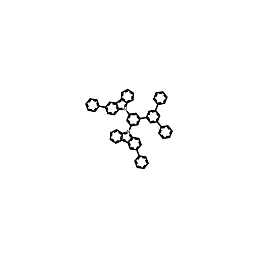 c1ccc(-c2cc(-c3ccccc3)cc(-c3cc(-n4c5ccccc5c5cc(-c6ccccc6)ccc54)cc(-n4c5ccccc5c5cc(-c6ccccc6)ccc54)c3)c2)cc1